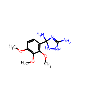 COc1ccc(C2(N)N=C(N)NN2)c(OC)c1OC